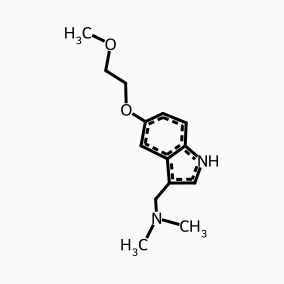 COCCOc1ccc2[nH]cc(CN(C)C)c2c1